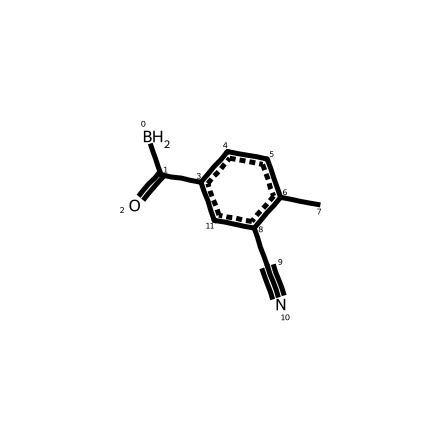 BC(=O)c1ccc(C)c(C#N)c1